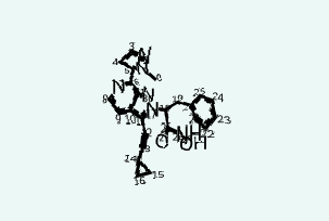 Cn1nccc1-c1nccc2c(C#CC3CC3)n(C(Cc3ccccc3)C(=O)NO)nc12